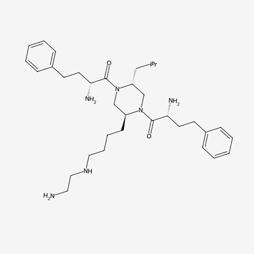 CC(C)C[C@@H]1CN(C(=O)[C@H](N)CCc2ccccc2)[C@@H](CCCCNCCN)CN1C(=O)[C@H](N)CCc1ccccc1